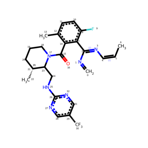 C=N/C(=N\C=C/C)c1c(F)ccc(C)c1C(=O)N1CCC[C@@H](C)C1CNc1ncc(C(F)(F)F)cn1